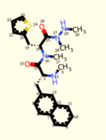 CN[C@H](Cc1ccc2ccccc2c1)C(=O)N(C)[C@H](Cc1cccs1)C(=O)N(C)NC